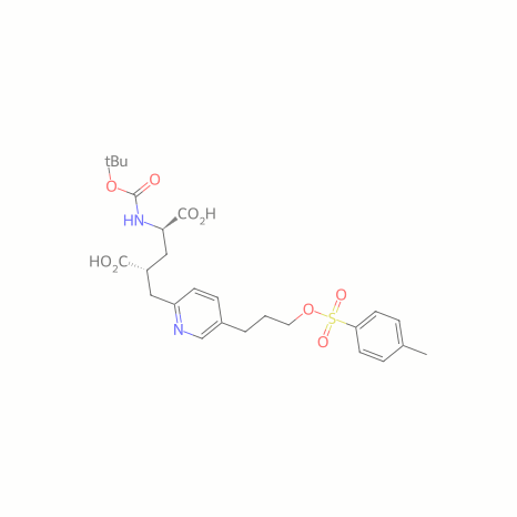 Cc1ccc(S(=O)(=O)OCCCc2ccc(C[C@@H](C[C@@H](NC(=O)OC(C)(C)C)C(=O)O)C(=O)O)nc2)cc1